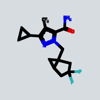 NC(=O)c1c(C(F)(F)F)c(C2CC2)nn1CC12CC1CC(F)(F)C2